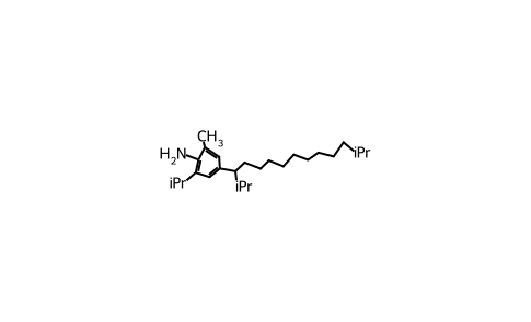 Cc1cc(C(CCCCCCCCCC(C)C)C(C)C)cc(C(C)C)c1N